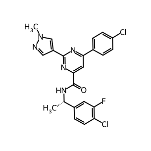 C[C@H](NC(=O)c1cc(-c2ccc(Cl)cc2)nc(-c2cnn(C)c2)n1)c1ccc(Cl)c(F)c1